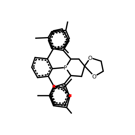 Cc1cc(C)c(-c2cccc(-c3c(C)cc(C)cc3C)c2P2C(c3ccccc3)CC3(CC2c2ccccc2)OCCO3)c(C)c1